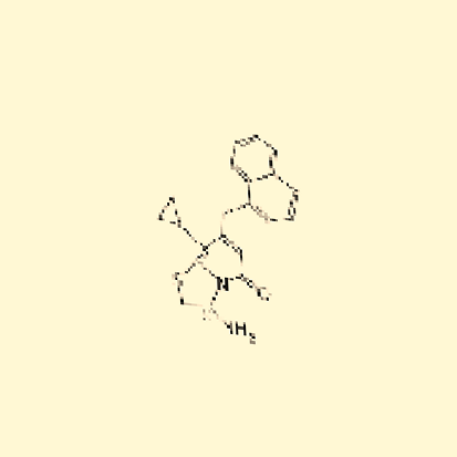 N[C@@H]1CSc2c(C3CC3)c(Cc3cccc4ccccc34)cc(=O)n21